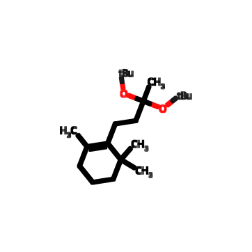 CC1=C(CCC(C)(OC(C)(C)C)OC(C)(C)C)C(C)(C)CCC1